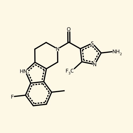 Cc1ccc(F)c2[nH]c3c(c12)CN(C(=O)c1sc(N)nc1C(F)(F)F)CC3